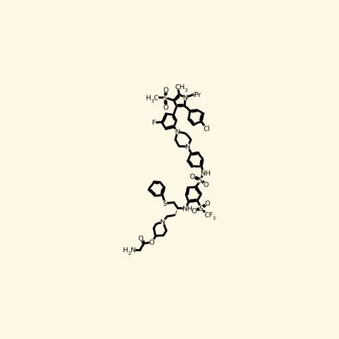 Cc1c(S(C)(=O)=O)c(-c2cc(F)cc(N3CCN(c4ccc(NS(=O)(=O)c5ccc(N[C@H](CCN6CCC(OC(=O)CN)CC6)CSc6ccccc6)c(S(=O)(=O)C(F)(F)F)c5)cc4)CC3)c2)c(-c2ccc(Cl)cc2)n1C(C)C